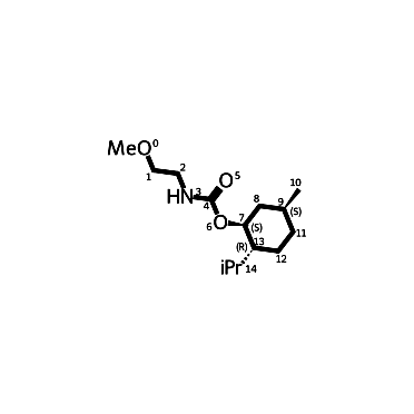 COCCNC(=O)O[C@H]1C[C@@H](C)CC[C@@H]1C(C)C